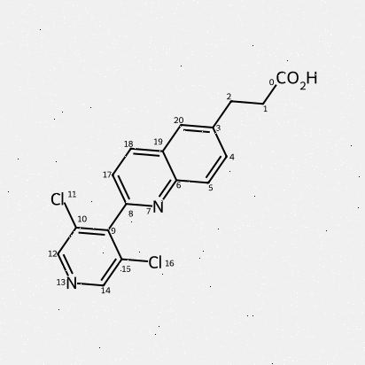 O=C(O)CCc1ccc2nc(-c3c(Cl)cncc3Cl)ccc2c1